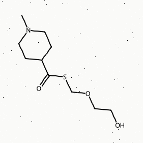 CN1CCC(C(=O)SCOCCO)CC1